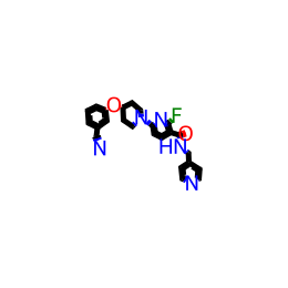 N#Cc1cccc(OC2CCN(c3ccc(C(=O)NCc4ccncc4)c(F)n3)CC2)c1